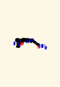 NC(=O)CCCCCCCN1CCN(c2ccc(-c3ccc4c(c3)C(=O)N(C(C(=O)Nc3nccs3)c3ccccc3)C4)cn2)CC1